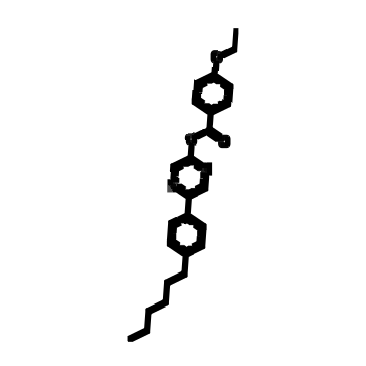 CCCCCCc1ccc(-c2cnc(OC(=O)c3ccc(OCC)cc3)cn2)cc1